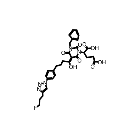 O=C(O)CCC(C(=O)O)N1C(=O)C(=C(O)CCCc2ccc(-n3cc(CCCF)nn3)cc2)C(=O)N(Cc2ccccc2)C1=O